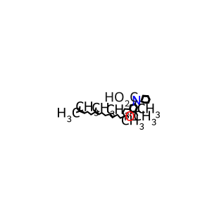 CC(C)=CCC/C(C)=C/CC/C(C)=C/CC[C@]1(C)CCc2cc(N(C(=O)O)c3ccccc3)c(C)c(C)c2O1